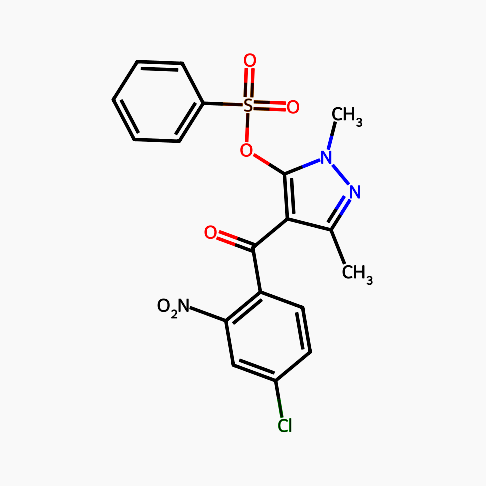 Cc1nn(C)c(OS(=O)(=O)c2ccccc2)c1C(=O)c1ccc(Cl)cc1[N+](=O)[O-]